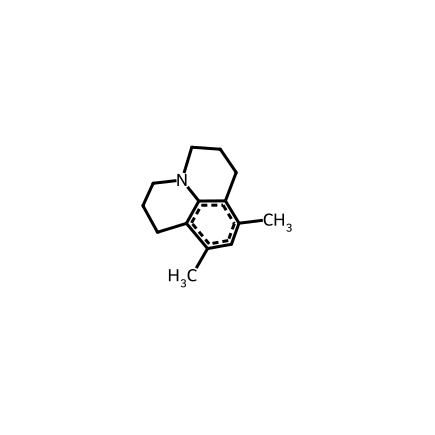 Cc1cc(C)c2c3c1CCCN3CCC2